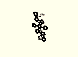 CC(C)(C)Cn1c2ccccc2c2ccc3c(c4cccc5c6c(-c7ccccc7)c7c(c(-c8ccccc8)c6n3c54)c3cccc4c5c6c(ccc5n7c34)c3ccccc3n6CC(C)(C)C)c21